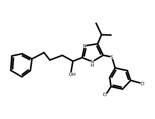 CC(C)c1nc(C(O)CCCc2ccccc2)[nH]c1Sc1cc(Cl)cc(Cl)c1